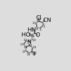 N#Cc1ccc(NC(=O)[C@@H](O)Cn2ccc3ccc(F)cc32)cc1Cl